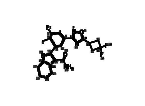 Cc1c(F)cc(-c2noc(C3CC(F)(F)C3)n2)cc1-c1nc2ccccn2c1C(N)=O